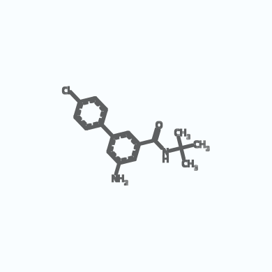 CC(C)(C)NC(=O)c1cc(N)cc(-c2ccc(Cl)cc2)c1